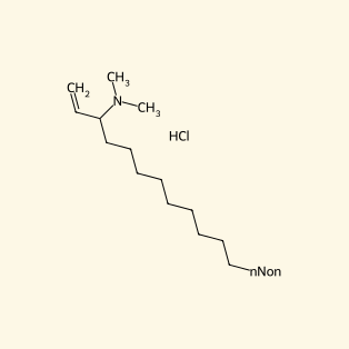 C=CC(CCCCCCCCCCCCCCCCCC)N(C)C.Cl